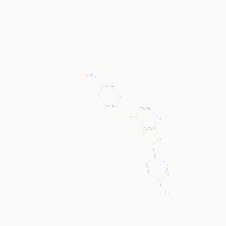 [CH2]c1ccc(-c2cc3nccc(Oc4ccc([N+](=O)[O-])cc4F)c3s2)nc1